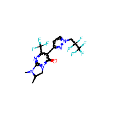 CC1Cn2c(nc(C(F)(F)F)c(-c3ccn(CC(F)(F)C(F)(F)F)n3)c2=O)N1C